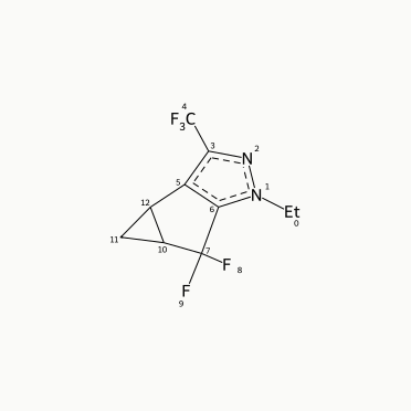 CCn1nc(C(F)(F)F)c2c1C(F)(F)C1CC21